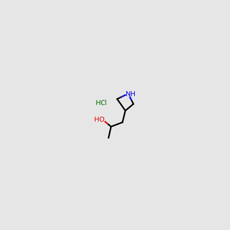 CC(O)CC1CNC1.Cl